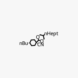 CCCCCCCC1COC([C@]2(C#N)CC[C@@H](CCCC)CC2)OC1